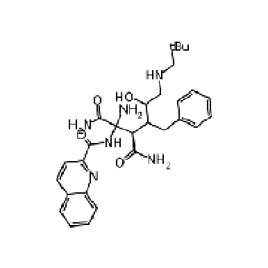 CC(C)(C)CNCC(O)C(Cc1ccccc1)C(C(N)=O)C(N)(NC(=O)c1ccc2ccccc2n1)C(N)=O